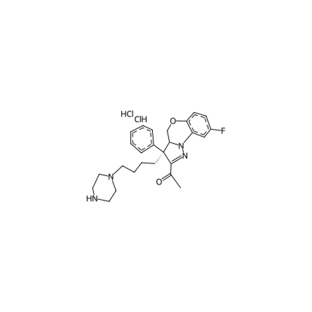 CC(=O)C1=NN2c3cc(F)ccc3OCC2[C@]1(CCCCN1CCNCC1)c1ccccc1.Cl.Cl